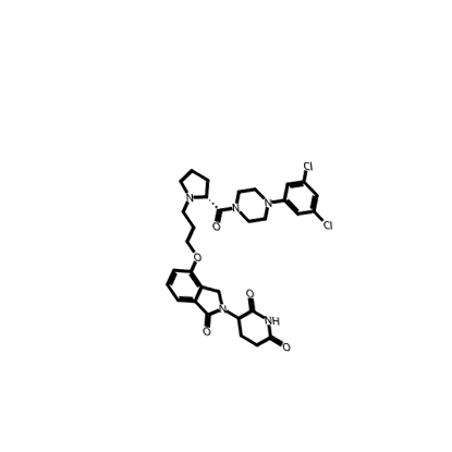 O=C1CCC(N2Cc3c(OCCCN4CCC[C@@H]4C(=O)N4CCN(c5cc(Cl)cc(Cl)c5)CC4)cccc3C2=O)C(=O)N1